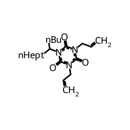 C=CCn1c(=O)n(CC=C)c(=O)n(C(CCCC)CCCCCCC)c1=O